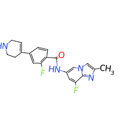 Cc1cn2cc(NC(=O)c3ccc(C4=CCNCC4)cc3F)cc(F)c2n1